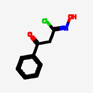 O=C(CC(Cl)=NO)c1ccccc1